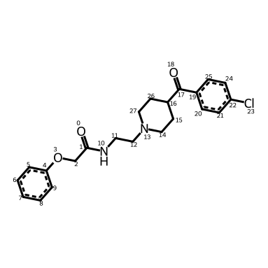 O=C(COc1ccccc1)NCCN1CCC(C(=O)c2ccc(Cl)cc2)CC1